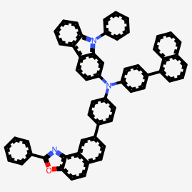 c1ccc(-c2nc3c(ccc4ccc(-c5ccc(N(c6ccc(-c7cccc8ccccc78)cc6)c6ccc7c8ccccc8n(-c8ccccc8)c7c6)cc5)cc43)o2)cc1